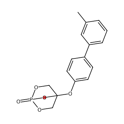 Cc1cccc(-c2ccc(OC34COP(=O)(OC3)OC4)cc2)c1